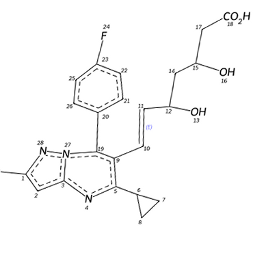 CC(C)c1cc2nc(C3CC3)c(/C=C/C(O)CC(O)CC(=O)O)c(-c3ccc(F)cc3)n2n1